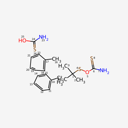 CC(C)(C)SOC(N)=S.Cc1ccccc1.Cc1ccccc1.NC(O)=S